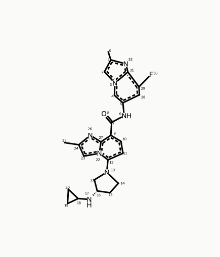 Cc1cn2cc(NC(=O)c3ccc(N4CC[C@H](NC5CC5)C4)n4cc(C)nc34)cc(F)c2n1